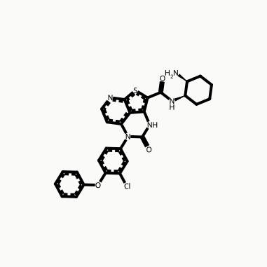 N[C@H]1CCCC[C@H]1NC(=O)c1sc2nccc3c2c1NC(=O)N3c1ccc(Oc2ccccc2)c(Cl)c1